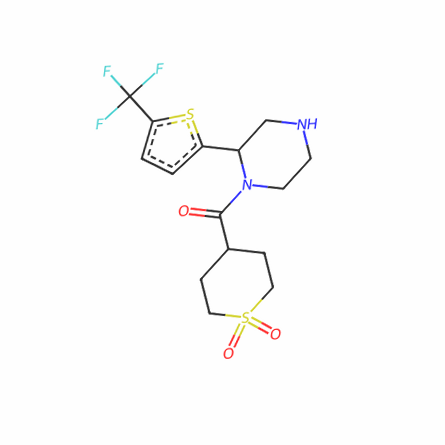 O=C(C1CCS(=O)(=O)CC1)N1CCNCC1c1ccc(C(F)(F)F)s1